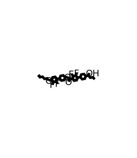 C=CCCCOc1ccc(C2CCC(OC(=O)c3ccc(C4CCC(C(O)CCC)CC4)c(F)c3F)CC2)c(F)c1F